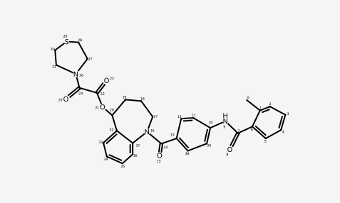 Cc1ccccc1C(=O)Nc1ccc(C(=O)N2CCCC(OC(=O)C(=O)N3CCSCC3)c3ccccc32)cc1